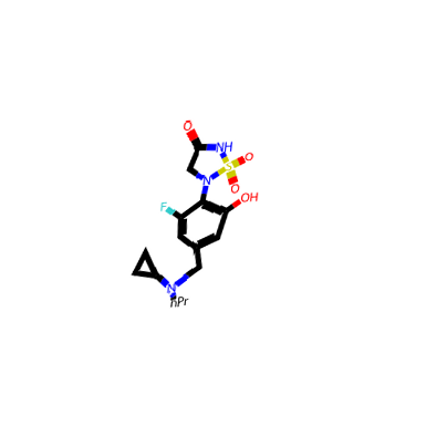 CCCN(Cc1cc(O)c(N2CC(=O)NS2(=O)=O)c(F)c1)C1CC1